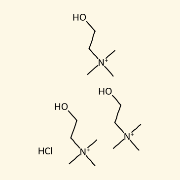 C[N+](C)(C)CCO.C[N+](C)(C)CCO.C[N+](C)(C)CCO.Cl